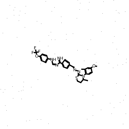 COc1ccc(N2/C(=N/N=C/c3ccc(C(=N)/N=C\Nc4ccc(OC(F)(F)F)cc4)cc3)SCCC2C)c(C)c1